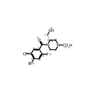 O=C(O)N1CCN(C(=O)c2cc(Cl)c(Br)cc2F)[C@H](CO)C1